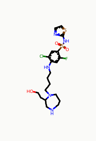 O=S(=O)(Nc1nccs1)c1cc(Cl)c(NCCCCN2CCCNCC2CCO)cc1F